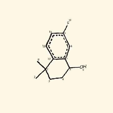 CC1(C)CCC(O)c2cc(F)ccc21